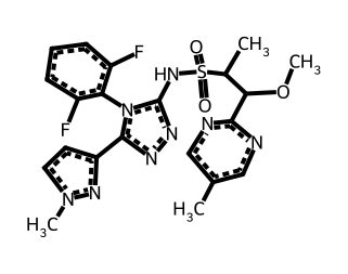 COC(c1ncc(C)cn1)C(C)S(=O)(=O)Nc1nnc(-c2ccn(C)n2)n1-c1c(F)cccc1F